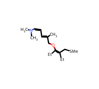 CC/C(CSC)=C(\CC)OC/C(C)=C/C=C\N(C)C